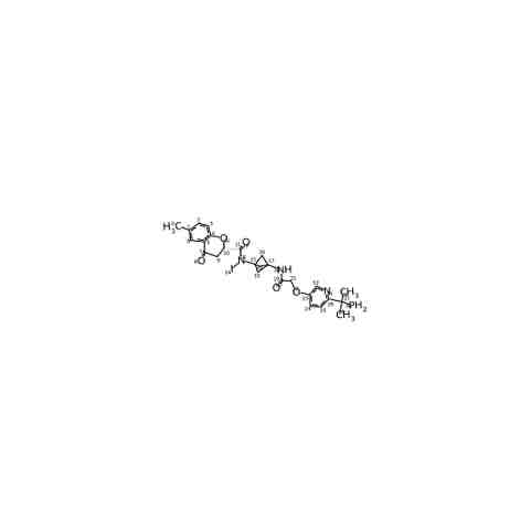 Cc1ccc2c(c1)C(=O)C[C@@H](C(=O)N(I)C13CC(NC(=O)COc4ccc(C(C)(C)P)nc4)(C1)C3)O2